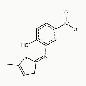 CC1=CCC(=Nc2cc([N+](=O)[O-])ccc2O)S1